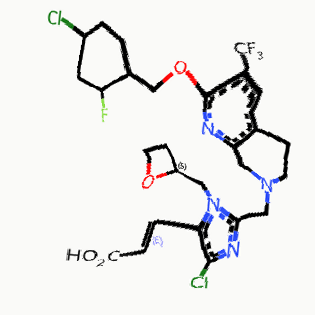 O=C(O)/C=C/c1c(Cl)nc(CN2CCc3cc(C(F)(F)F)c(OCC4CCC(Cl)CC4F)nc3C2)n1C[C@@H]1CCO1